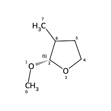 CO[C@H]1OCCC1C